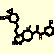 C[C@H]1CN([C@@H](CO)CCN2CCC3(CC3)[C@H](O)C2)C(=O)CCN1C(=O)Nc1cccc(Cl)c1